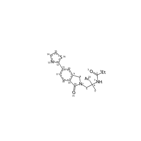 CCC(=O)NC(C)(CN1Cc2cc(-c3nccs3)ccc2C1=O)C(C)=O